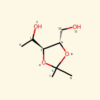 CC(O)[C@@H]1OC(C)(C)O[C@H]1CO